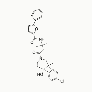 CC(C)(CC(=O)N1CC[C@](O)(c2ccc(Cl)cc2)C(C)(C)C1)NC(=O)c1ccc(-c2ccccc2)o1